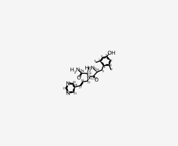 Cc1cc(O)cc(C)c1C[C@H](N)C(=O)N(C/C=C/c1cncnc1)[C@H](C)C(N)=O